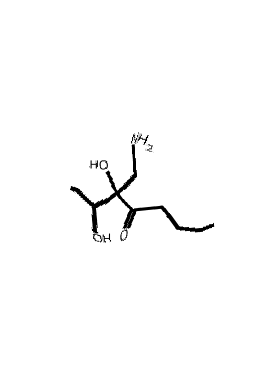 CCCC(=O)C(O)(CN)C(C)O